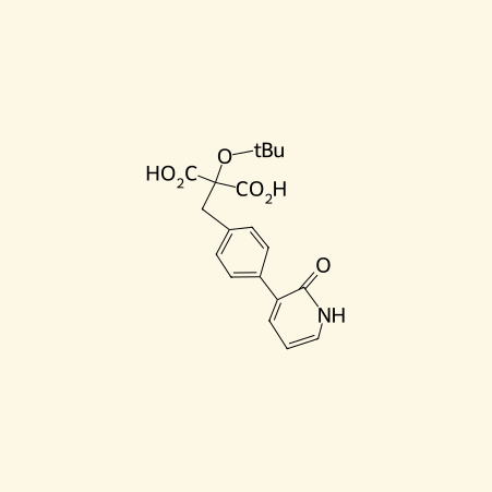 CC(C)(C)OC(Cc1ccc(-c2ccc[nH]c2=O)cc1)(C(=O)O)C(=O)O